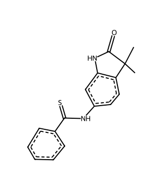 CC1(C)C(=O)Nc2cc(NC(=S)c3ccccc3)ccc21